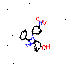 O=[N+]([O-])c1ccc(-n2c(-c3ccccc3)nc3ccc(O)cc32)cc1